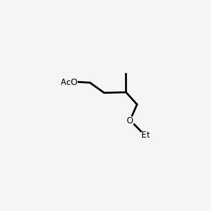 CCOCC(C)CCOC(C)=O